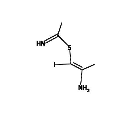 CC(=N)S/C(I)=C(\C)N